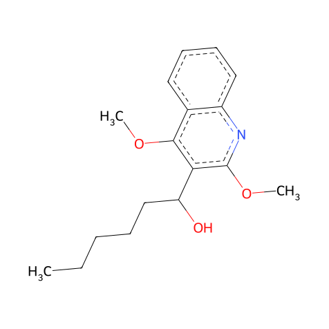 CCCCCC(O)c1c(OC)nc2ccccc2c1OC